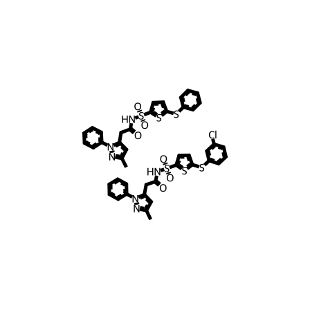 Cc1cc(CC(=O)NS(=O)(=O)c2ccc(Sc3cccc(Cl)c3)s2)n(-c2ccccc2)n1.Cc1cc(CC(=O)NS(=O)(=O)c2ccc(Sc3ccccc3)s2)n(-c2ccccc2)n1